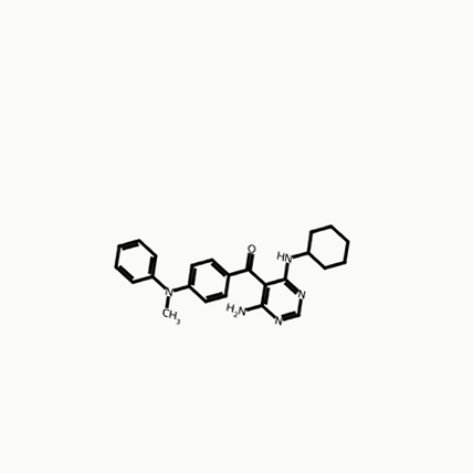 CN(c1ccccc1)c1ccc(C(=O)c2c(N)ncnc2NC2CCCCC2)cc1